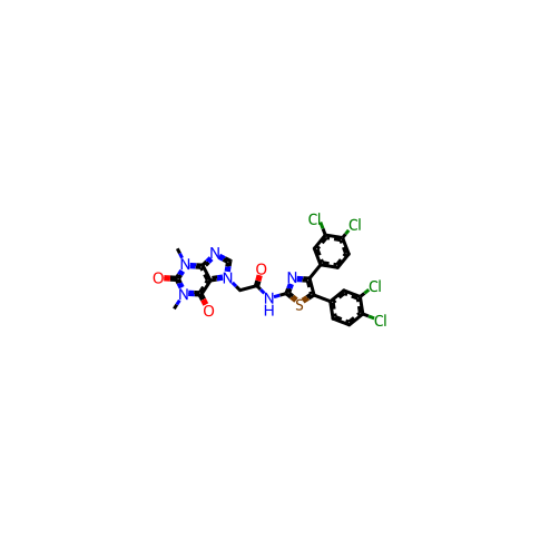 Cn1c(=O)c2c(ncn2CC(=O)Nc2nc(-c3ccc(Cl)c(Cl)c3)c(-c3ccc(Cl)c(Cl)c3)s2)n(C)c1=O